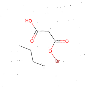 CCCC.O=C(O)CC(=O)OBr